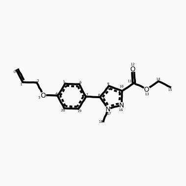 C=CCOc1ccc(-c2cc(C(=O)OCC)nn2C)cc1